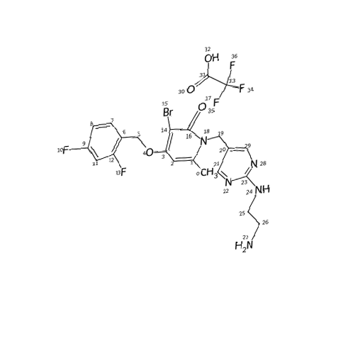 Cc1cc(OCc2ccc(F)cc2F)c(Br)c(=O)n1Cc1cnc(NCCN)nc1.O=C(O)C(F)(F)F